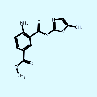 COC(=O)c1ccc(N)c(C(=O)Nc2ncc(C)s2)c1